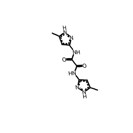 Cc1cc(NC(=O)C(=O)Nc2cc(C)[nH]n2)n[nH]1